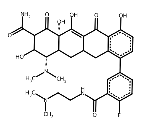 CN(C)CCNC(=O)c1cc(-c2ccc(O)c3c2CC2CC4[C@H](N(C)C)C(O)C(C(N)=O)C(=O)[C@@]4(O)C(O)=C2C3=O)ccc1F